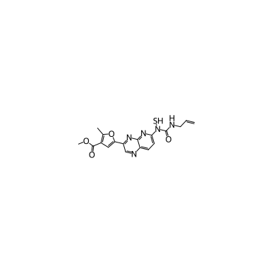 C=CCNC(=O)N(S)c1ccc2ncc(-c3cc(C(=O)OC)c(C)o3)nc2n1